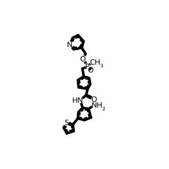 CP(=O)(Cc1ccc(C(=O)Nc2cc(-c3cccs3)ccc2N)cc1)OCc1cccnc1